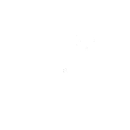 CC(C)(CCC=C1SCCCS1)c1cccc(O[Si](C)(C)C(C)(C)C)c1